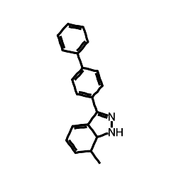 CC1C=CC=C2C(c3ccc(-c4ccccc4)cc3)=NNC21